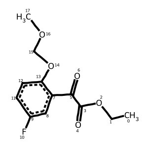 CCOC(=O)C(=O)c1cc(F)ccc1OCOC